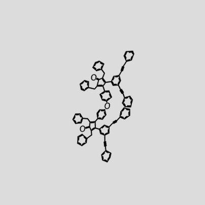 O=C1C(Cc2ccccc2)=C(c2ccc(Oc3ccc(C4=C(Cc5ccccc5)C(=O)C(Cc5ccccc5)=C4c4cc(C#Cc5ccccc5)cc(C#Cc5ccccc5)c4)cc3)cc2)C(c2cc(C#Cc3ccccc3)cc(C#Cc3ccccc3)c2)=C1Cc1ccccc1